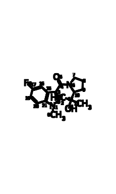 Cn1cc(C(=O)N2CCC[C@H]2C(C)(C)O)c2cc(F)ccc21